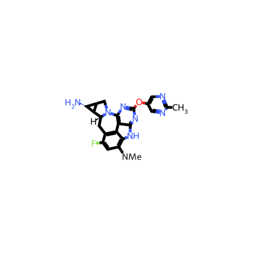 CNc1cc(F)c2c3c1[nH]c1nc(Oc4cnc(C)nc4)nc(c13)N1CC3C([C@@H]3N)[C@@H]1C2